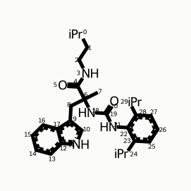 CC(C)CCNC(=O)C(C)(Cc1c[nH]c2ccccc12)NC(=O)Nc1c(C(C)C)cccc1C(C)C